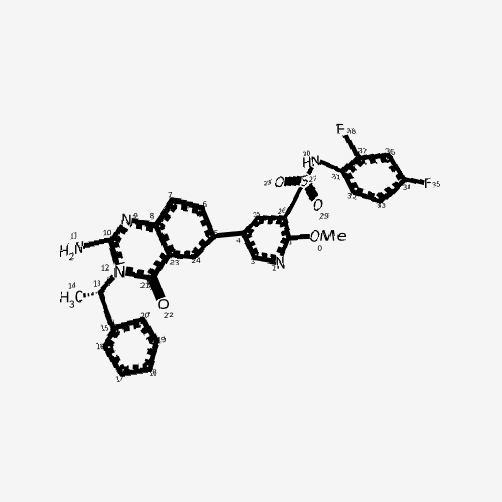 COc1ncc(-c2ccc3nc(N)n([C@@H](C)c4ccccc4)c(=O)c3c2)cc1S(=O)(=O)Nc1ccc(F)cc1F